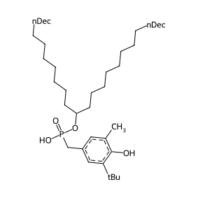 CCCCCCCCCCCCCCCCCCC(CCCCCCCCCCCCCCCCC)OP(=O)(O)Cc1cc(C)c(O)c(C(C)(C)C)c1